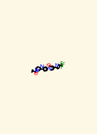 CC(C)C(=O)N1CCC2C(C1)c1ccc(-n3ccc(-c4ccc(C(F)(F)F)cn4)cc3=O)cc1N2C